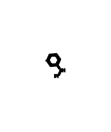 CC(C)Nc1c[c]ccc1